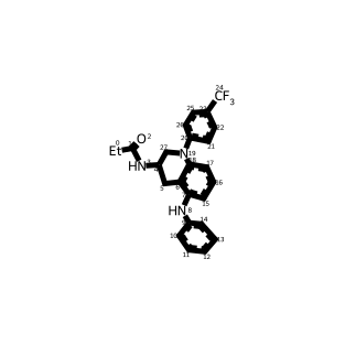 CCC(=O)NC1Cc2c(Nc3ccccc3)cccc2N(c2ccc(C(F)(F)F)cc2)C1